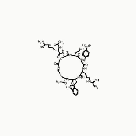 CC(=O)N[C@@H](CCCNC(=N)N)C(=O)N[C@H]1CCC(=O)NCCC[C@@H](C(N)=O)NC(=O)[C@H](Cc2c[nH]c3ccccc23)NC(=O)[C@H](CCCNC(=N)N)NC(=O)[C@@H](Cc2ccc([N+](=O)[O-])cc2)NC(=O)[C@H](CCN)NC1=O